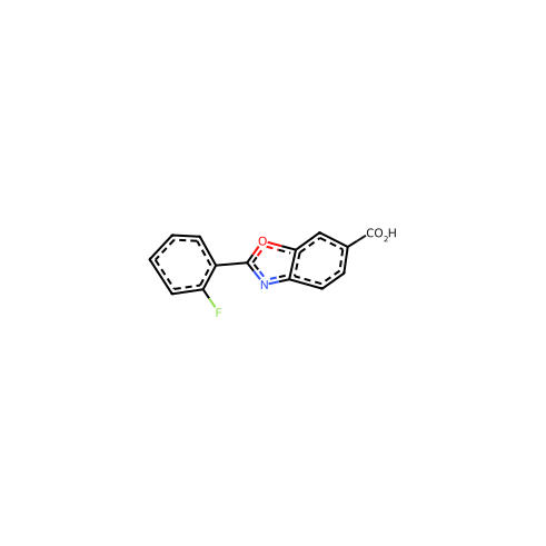 O=C(O)c1ccc2nc(-c3ccccc3F)oc2c1